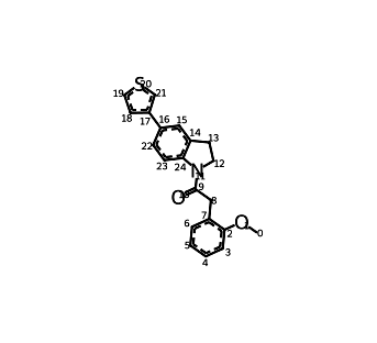 COc1ccccc1CC(=O)N1CCc2cc(-c3ccsc3)ccc21